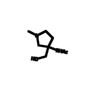 CC(=O)NC1(CO)CCN(C)C1